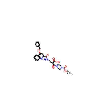 CCOC(=O)N1CCN(C(=O)C(CCNC(=O)c2cc(OCc3ccccc3)c3ccccc3n2)C(=O)O)CC1